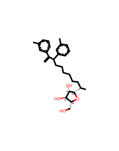 C=C(c1cccc(C)c1)C(CCCCCCC(C)[C@@H]1O[C@H](CO)[C@@H](O)[C@@H]1O)c1cccc(C)c1